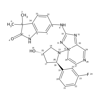 CC1(C)C(=O)Nc2cc(NC3=N[N+]4(N5C[C@@H](O)C[C@@H]5c5cccc(F)c5)C=CN=CC4=N3)ccc21